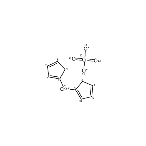 C1=CC[C]([Cr+2][C]2=CC=CC2)=C1.[O]=[Cr](=[O])([O-])[O-]